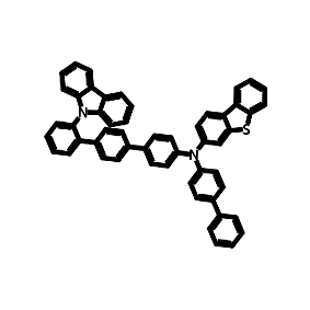 c1ccc(-c2ccc(N(c3ccc(-c4ccc(-c5ccccc5-n5c6ccccc6c6ccccc65)cc4)cc3)c3ccc4c(c3)sc3ccccc34)cc2)cc1